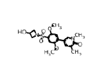 COc1cc(S(=O)(=O)N2CC(O)C2)c(OC)cc1-c1cc(C)c(=O)n(C)c1